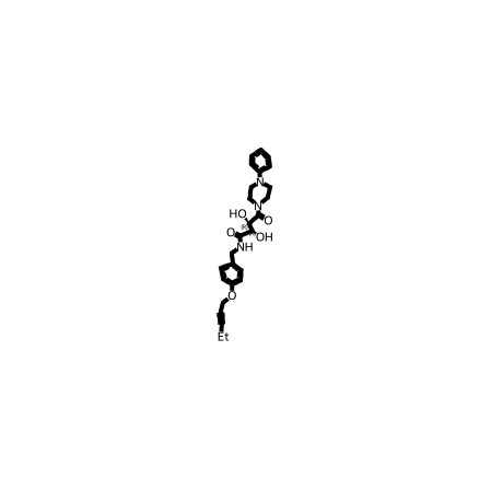 CCC#CCOc1ccc(CNC(=O)[C@H](O)[C@@H](O)C(=O)N2CCN(c3ccccc3)CC2)cc1